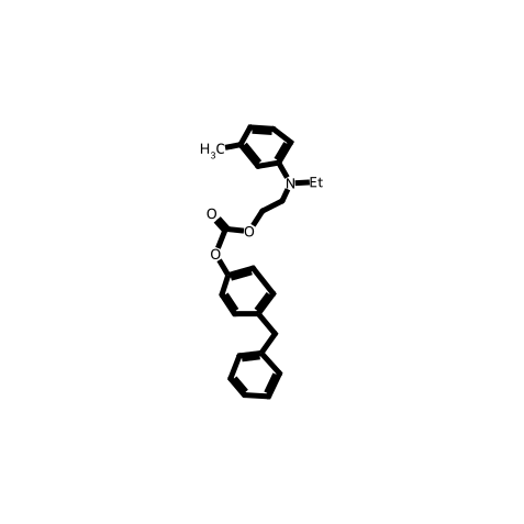 CCN(CCOC(=O)Oc1ccc(Cc2ccccc2)cc1)c1cccc(C)c1